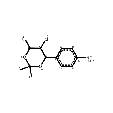 CC1(C)OC(Cl)C(Cl)C(c2ccc([N+](=O)[O-])cc2)O1